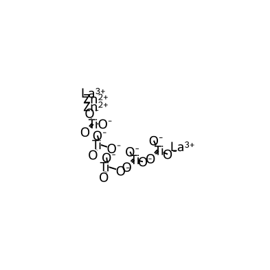 [La+3].[La+3].[O]=[Ti]([O-])[O-].[O]=[Ti]([O-])[O-].[O]=[Ti]([O-])[O-].[O]=[Ti]([O-])[O-].[O]=[Ti]([O-])[O-].[Zn+2].[Zn+2]